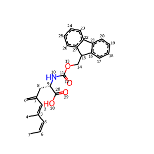 C=C(/C=C(C)/C=C\C)C[C@H](NC(=O)OCC1c2ccccc2-c2ccccc21)C(=O)O